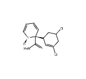 CNC(=S)[C@@]1(C2C=C(Cl)CC(Cl)C2)C=CC=C[S@+]1[O-]